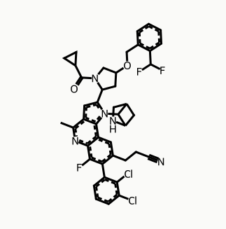 Cc1nc2c(F)c(-c3cccc(Cl)c3Cl)c(CCC#N)cc2c2c1cc(C1CC(OCc3ccccc3C(F)F)CN1C(=O)C1CC1)n2C1C2CNC1C2